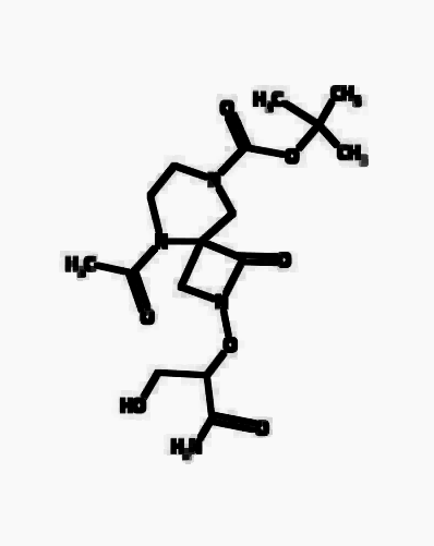 CC(=O)N1CCN(C(=O)OC(C)(C)C)CC12CN(OC(CO)C(N)=O)C2=O